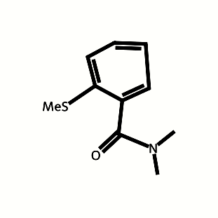 CSc1ccccc1C(=O)N(C)C